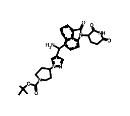 CC(C)(C)OC(=O)N1CCC(n2cc(C(N)c3ccc4c5c(cccc35)C(=O)N4C3CCC(=O)NC3=O)cn2)CC1